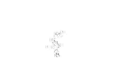 COc1nc(NC2CCC(NC(C)=O)CC2)nc2[nH]cc(-c3ccc4ncnn4c3)c12